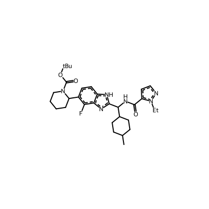 CCn1nccc1C(=O)NC(c1nc2c(F)c(C3CCCCN3C(=O)OC(C)(C)C)ccc2[nH]1)C1CCC(C)CC1